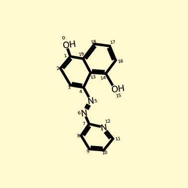 Oc1ccc(/N=N/c2ccccn2)c2c(O)cccc12